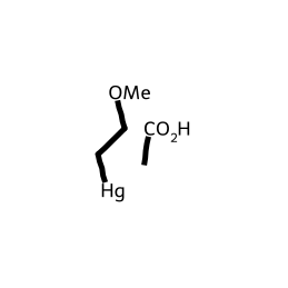 CC(=O)O.COC[CH2][Hg]